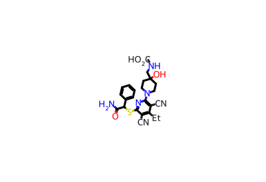 CCc1c(C#N)c(SC(C(N)=O)c2ccccc2)nc(N2CCC(O)(CNC(=O)O)CC2)c1C#N